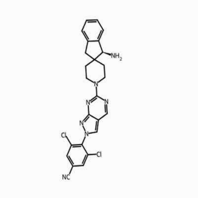 N#Cc1cc(Cl)c(-n2cc3cnc(N4CCC5(CC4)Cc4ccccc4[C@H]5N)nc3n2)c(Cl)c1